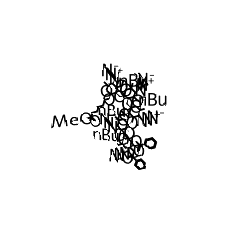 CCCCOC1[C@H](N=[N+]=[N-])C(C)O[C@H](OC2[C@H](N=[N+]=[N-])C(C)O[C@H](O[C@@H]3C(OCCCC)[C@H](N=[N+]=[N-])C(C)O[C@@H]3O[C@@H]3C(OCCCC)[C@H](N=[N+]=[N-])C(C)O[C@@H]3OCCCCCC(=O)OC)[C@@H]2OCCCC)[C@@H]1O[C@H]1OC(C)[C@@H](N=[N+]=[N-])C(OC(=O)c2ccccc2)[C@H]1OC(=O)c1ccccc1